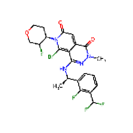 C[C@@H](Nc1nn(C)c(=O)c2cc(=O)n([C@@H]3CCOC[C@@H]3F)c(Br)c12)c1cccc(C(F)F)c1F